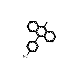 Cc1c2ccccc2c(-c2ccc(C#N)cc2)c2ccccc12